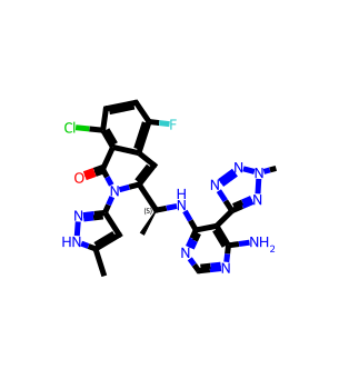 Cc1cc(-n2c([C@H](C)Nc3ncnc(N)c3-c3nnn(C)n3)cc3c(F)ccc(Cl)c3c2=O)n[nH]1